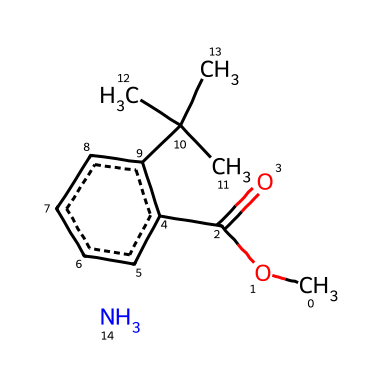 COC(=O)c1ccccc1C(C)(C)C.N